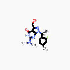 CC(C)[C@@H](c1ccc(C(F)(F)F)cc1F)n1nc(CO)c2c(=O)[nH]c(N(C)C)nc21